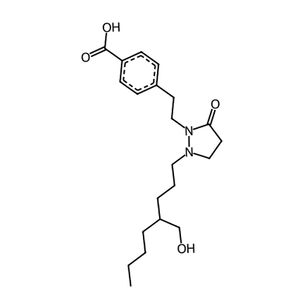 CCCCC(CO)CCCN1CCC(=O)N1CCc1ccc(C(=O)O)cc1